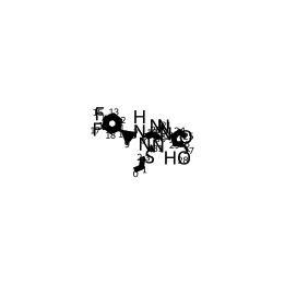 CCCSc1nc(N[C@H]2C[C@H]2c2ccc(F)c(F)c2)c2nnn([C@H]3CO[C@@H](CO)C3)c2n1